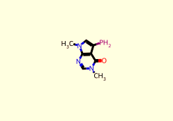 Cn1cnc2c(c(P)cn2C)c1=O